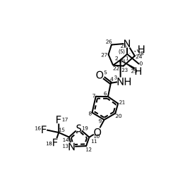 C[C@H]1[C@H](NC(=O)c2ccc(Oc3cnc(C(F)(F)F)s3)cc2)C2CCN1CC2